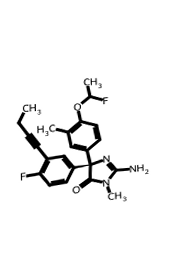 CCC#Cc1cc([C@@]2(c3ccc(OC(C)F)c(C)c3)N=C(N)N(C)C2=O)ccc1F